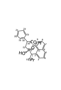 CCCC(c1cccc2ccccc12)P(=O)(O)CC(C(=O)O)c1ccccc1